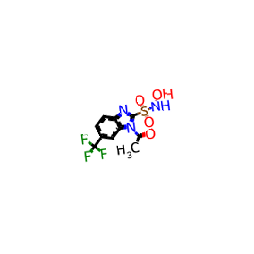 CC(=O)n1c(S(=O)(=O)NO)nc2ccc(C(F)(F)F)cc21